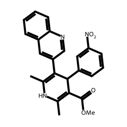 COC(=O)C1=C(C)NC(C)=C(c2cnc3ccccc3c2)C1c1cccc([N+](=O)[O-])c1